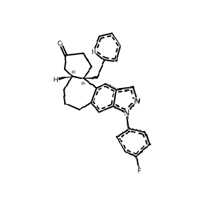 O=C1CC[C@]2(Cc3ccccn3)c3cc4cnn(-c5ccc(F)cc5)c4cc3CCC[C@@H]2C1